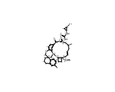 CO[C@H]1/C=C/C[C@H](C)C[S@@](=O)(NC(=O)N[C@H]2C[C@H]2F)=NC(=O)c2ccc3c(c2)N(C[C@@H]2CC[C@H]21)C[C@@]1(CCCc2cc(C)ccc21)CO3